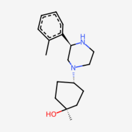 Cc1ccccc1[C@@H]1CN([C@H]2CC[C@](C)(O)CC2)CCN1